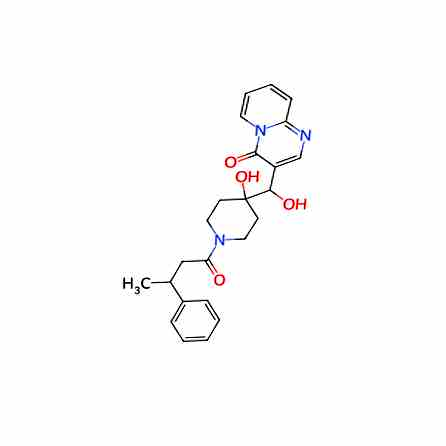 CC(CC(=O)N1CCC(O)(C(O)c2cnc3ccccn3c2=O)CC1)c1ccccc1